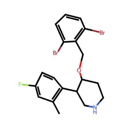 Cc1cc(F)ccc1C1CNCCC1OCc1c(Br)cccc1Br